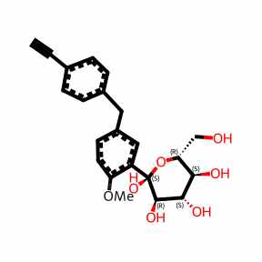 C#Cc1ccc(Cc2ccc(OC)c([C@]3(O)O[C@H](CO)[C@@H](O)[C@H](O)[C@H]3O)c2)cc1